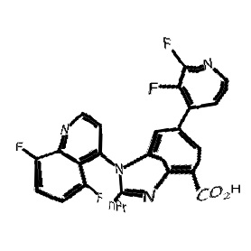 CCCc1nc2c(C(=O)O)cc(-c3ccnc(F)c3F)cc2n1-c1ccnc2c(F)ccc(F)c12